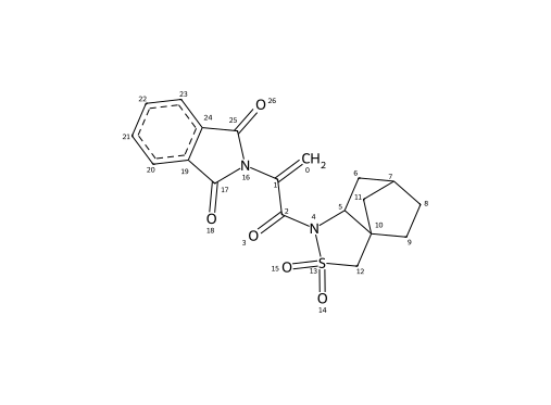 C=C(C(=O)N1C2CC3CCC2(C3)CS1(=O)=O)N1C(=O)c2ccccc2C1=O